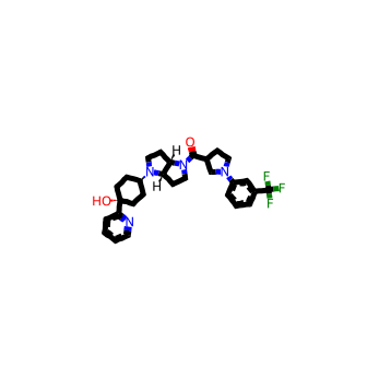 O=C(C1CCN(c2cccc(C(F)(F)F)c2)C1)N1CC[C@@H]2[C@H]1CCN2[C@H]1CC[C@](O)(c2ccccn2)CC1